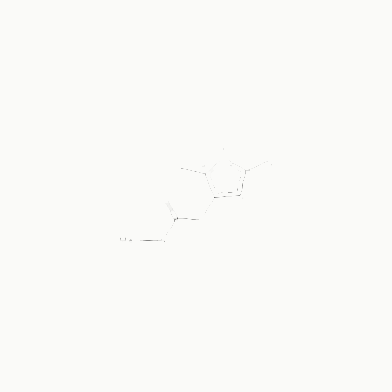 CONC(=O)Oc1cc(C)oc1C